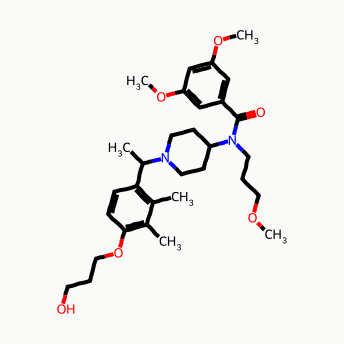 COCCCN(C(=O)c1cc(OC)cc(OC)c1)C1CCN(C(C)c2ccc(OCCCO)c(C)c2C)CC1